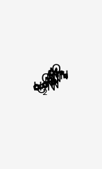 CC(C)(C=C(C#N)C(=O)N1CCC[C@H](n2c(=O)n(-c3ccc(Oc4ccccc4)cc3)c3c(N)ncnc32)C1)N1CCC1